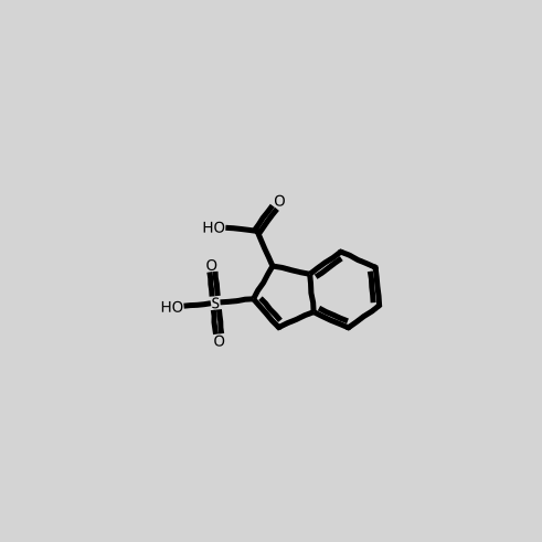 O=C(O)C1C(S(=O)(=O)O)=Cc2ccccc21